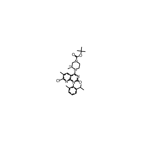 Cc1cc2c(N3CCN(C(=O)OC(C)(C)C)C[C@@H]3C)nc(=O)n(-c3c(C)cccc3C(C)C)c2nc1Cl